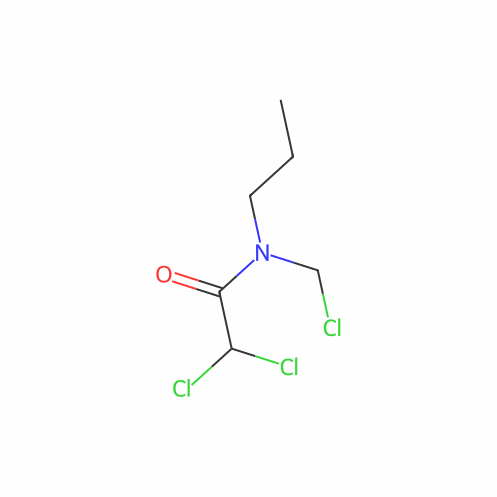 CCCN(CCl)C(=O)C(Cl)Cl